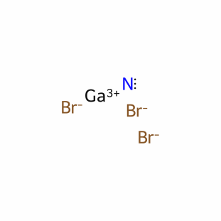 [Br-].[Br-].[Br-].[Ga+3].[N]